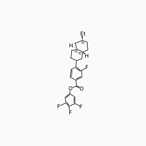 CC[C@H]1CC[C@@H]2CC(c3ccc(C(=O)Oc4cc(F)c(F)c(F)c4)cc3F)CC[C@H]2C1